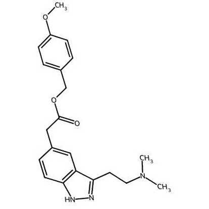 COc1ccc(COC(=O)Cc2ccc3[nH]nc(CCN(C)C)c3c2)cc1